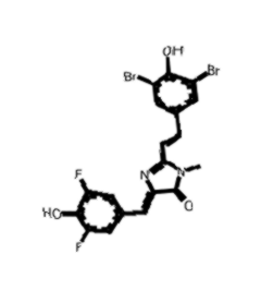 CN1C(=O)/C(=C/c2cc(F)c(O)c(F)c2)N=C1/C=C/c1cc(Br)c(O)c(Br)c1